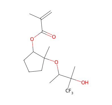 C=C(C)C(=O)OC1CCCC1(C)OC(C)C(C)(O)C(F)(F)F